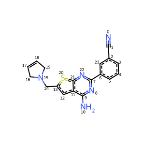 N#Cc1cccc(-c2nc(N)c3cc(CN4CC=CC4)sc3n2)c1